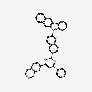 C1=C(c2ccc3ccccc3c2)NC(c2ccc3cc(-n4c5ccccc5c5cc6ccccc6cc54)ccc3c2)N=C1c1ccccc1